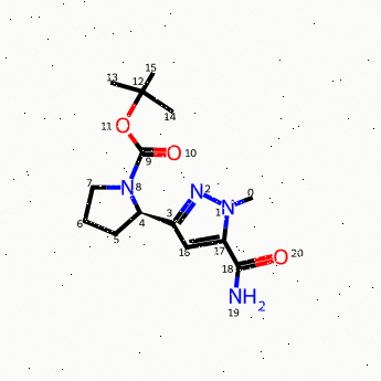 Cn1nc([C@H]2CCCN2C(=O)OC(C)(C)C)cc1C(N)=O